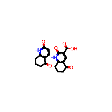 O=C1CCCc2[nH]c(=O)c(C(=O)O)cc21.O=C1CCCc2[nH]c(=O)ccc21